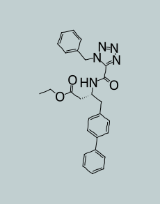 CCOC(=O)C[C@@H](Cc1ccc(-c2ccccc2)cc1)NC(=O)c1nnnn1Cc1ccccc1